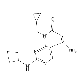 Nc1cc(=O)n(CC2CC2)c2nc(NC3CCC3)ncc12